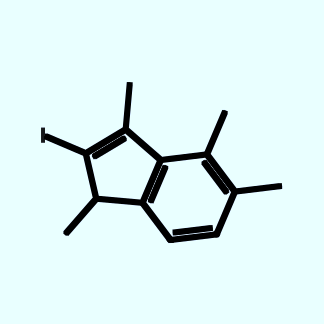 CC1=C(I)C(C)c2ccc(C)c(C)c21